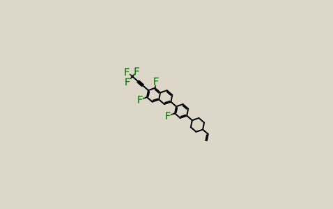 C=CC1CCC(c2ccc(-c3ccc4c(F)c(C#CC(F)(F)F)c(F)cc4c3)c(F)c2)CC1